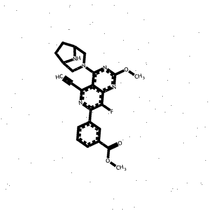 C#Cc1nc(-c2cccc(C(=O)OC)c2)c(F)c2nc(OC)nc(N3CC4CCC(C3)N4)c12